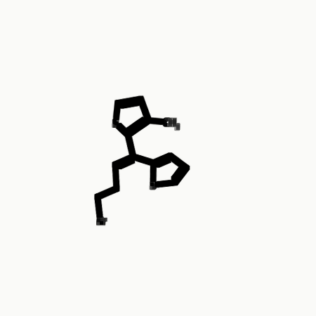 Cc1ccsc1/C(=C/CCBr)c1cccs1